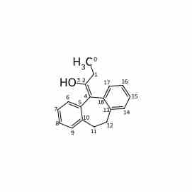 CCC(O)=C1c2ccccc2CCc2ccccc21